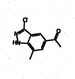 CC(=O)c1cc(C)c2[nH]nc(Cl)c2c1